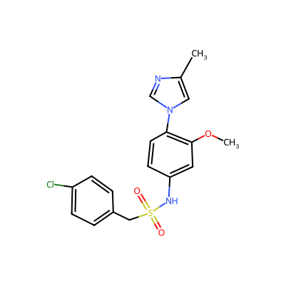 COc1cc(NS(=O)(=O)Cc2ccc(Cl)cc2)ccc1-n1cnc(C)c1